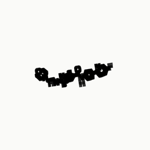 O=C(Nc1ccc(-c2ccc(F)cn2)cc1)c1cc2sc(NCCN3CCOCC3)nc2s1